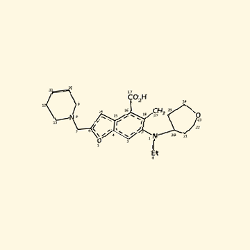 CCN(c1cc2oc(CN3CCCCC3)cc2c(C(=O)O)c1C)C1CCOCC1